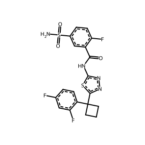 NS(=O)(=O)c1ccc(F)c(C(=O)Nc2nnc(C3(c4ccc(F)cc4F)CCC3)s2)c1